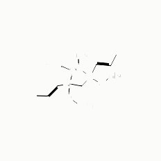 CC=C[Si](C[Si](C=CC)(OCCCC)OCCCC)(OCCCC)OCCCC